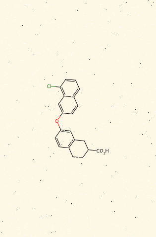 O=C(O)C1CCc2ccc(Oc3ccc4cccc(Cl)c4c3)cc2C1